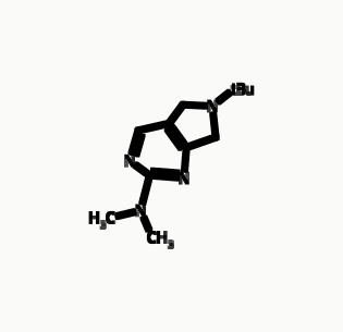 CN(C)c1ncc2c(n1)CN(C(C)(C)C)C2